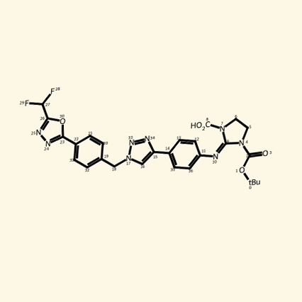 CC(C)(C)OC(=O)N1CCN(C(=O)O)C1=Nc1ccc(-c2cn(Cc3ccc(-c4nnc(C(F)F)o4)cc3)nn2)cc1